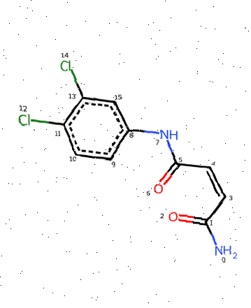 NC(=O)/C=C\C(=O)Nc1ccc(Cl)c(Cl)c1